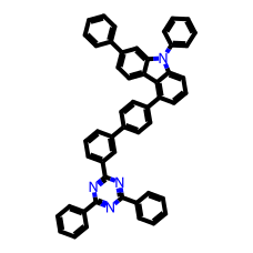 c1ccc(-c2ccc3c4c(-c5ccc(-c6cccc(-c7nc(-c8ccccc8)nc(-c8ccccc8)n7)c6)cc5)cccc4n(-c4ccccc4)c3c2)cc1